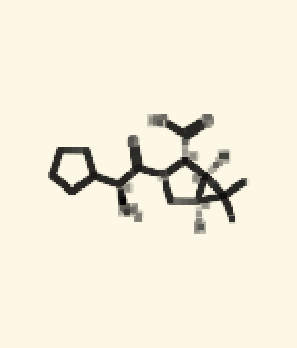 CC1(C)[C@@H]2[C@@H](C(=O)O)N(C(=O)[C@@H](N)C3CCCC3)C[C@@H]21